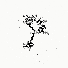 Nc1ncnc2c1ncn2[C@@H]1O[C@H](COP(=O)(O)OP(=O)(O)OP(=O)(O)OC(=O)CCCCNC(=O)CCCC[C@@H]2SC[C@@H]3NC(=O)N[C@@H]32)C(O)C1O